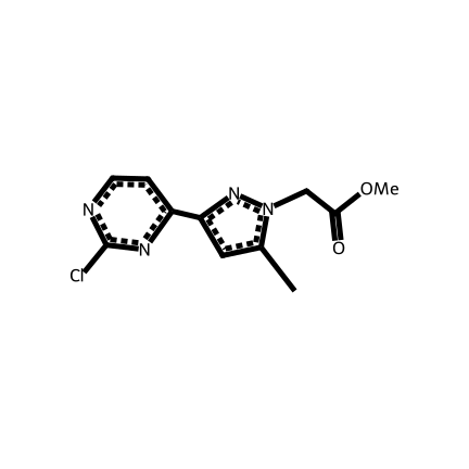 COC(=O)Cn1nc(-c2ccnc(Cl)n2)cc1C